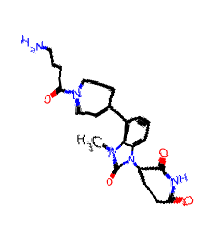 Cn1c(=O)n(C2CCC(=O)NC2=O)c2cccc(C3CCN(C(=O)CCCN)CC3)c21